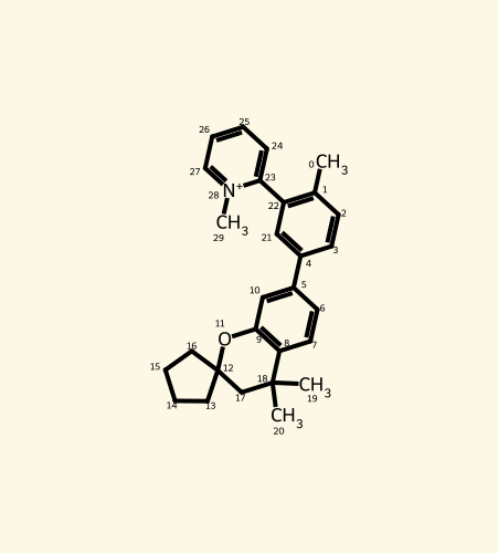 Cc1ccc(-c2ccc3c(c2)OC2(CCCC2)CC3(C)C)cc1-c1cccc[n+]1C